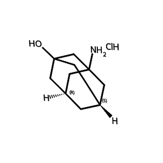 Cl.NC12C[C@H]3C[C@@H](C1)CC(O)(C3)C2